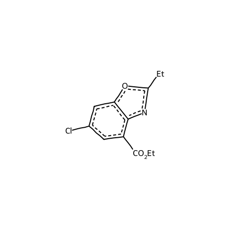 CCOC(=O)c1cc(Cl)cc2oc(CC)nc12